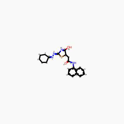 O=C(CC1S/C(=N\N=C2CCCCC2)N=C1O)Nc1cccc2ccccc12